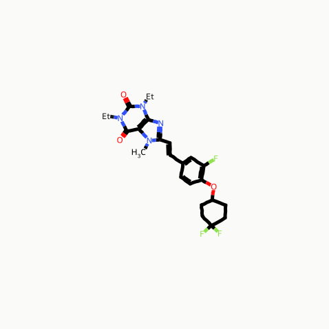 CCn1c(=O)c2c(nc(/C=C/c3ccc(OC4CCC(F)(F)CC4)c(F)c3)n2C)n(CC)c1=O